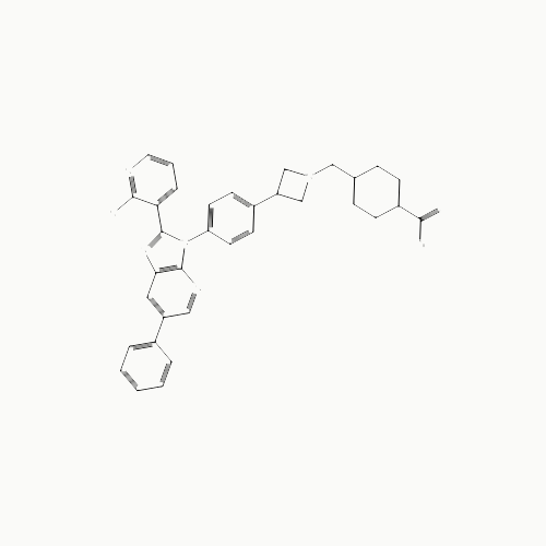 Nc1ncccc1-c1nc2cc(-c3ccccc3)cnc2n1-c1ccc(C2CN(CC3CCC(C(=O)O)CC3)C2)cc1